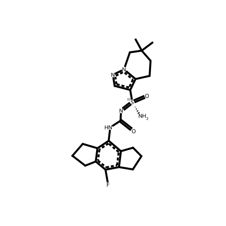 CC1(C)CCc2c([S@@](N)(=O)=NC(=O)Nc3c4c(c(F)c5c3CCC5)CCC4)cnn2C1